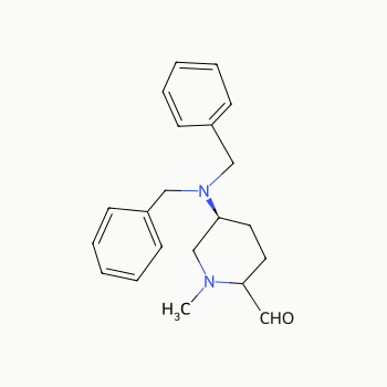 CN1C[C@@H](N(Cc2ccccc2)Cc2ccccc2)CCC1C=O